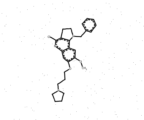 COc1cc2c3c(c(Cl)nc2cc1OCCCN1CCCC1)CCN3Cc1ccccc1